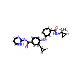 CC1(NC(=O)c2cccc(Nc3ccc(C(=O)N=c4nccc[nH]4)cc3C3CC3)c2)CC1